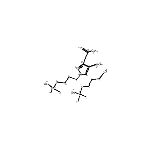 CC(C)(C)[Si](C)(C)OCCCCl.COC(=O)c1nn(CCCO[Si](C)(C)C(C)(C)C)cc1[N+](=O)[O-]